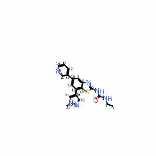 CCNC(=O)Nc1nc2cc(-c3cccnc3)cc(-c3cnn(C)c3)c2s1